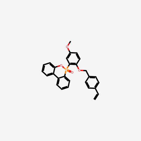 C=Cc1ccc(COc2ccc(OC)cc2P2(=O)Oc3ccccc3-c3ccccc32)cc1